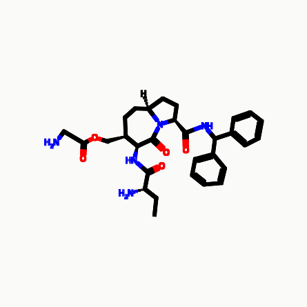 CC[C@H](N)C(=O)N[C@@H]1C(=O)N2[C@@H](CC[C@@H]1COC(=O)CN)CC[C@H]2C(=O)NC(c1ccccc1)c1ccccc1